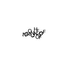 CN1CCN(C(=O)c2cccc(NC(=O)c3c(F)cc(F)cc3F)n2)CC1